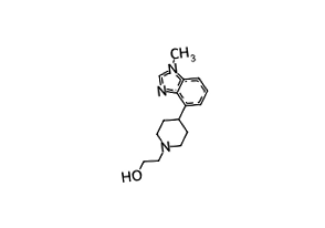 Cn1cnc2c(C3CCN(CCO)CC3)cccc21